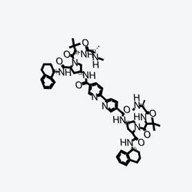 CN[C@@H](C)C(=O)NC(C(=O)N1C[C@@H](NC(=O)c2ccc(-c3ccc(C(=O)N[C@H]4CC(C(=O)N[C@@H]5CCCc6ccccc65)N(C(=O)[C@@H](NC(=O)[C@H](C)NC)C(C)(C)C)C4)cn3)nc2)CC1C(=O)N[C@@H]1CCCc2ccccc21)C(C)(C)C